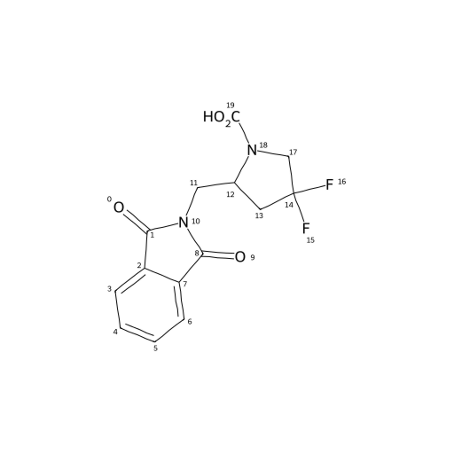 O=C1c2ccccc2C(=O)N1CC1CC(F)(F)CN1C(=O)O